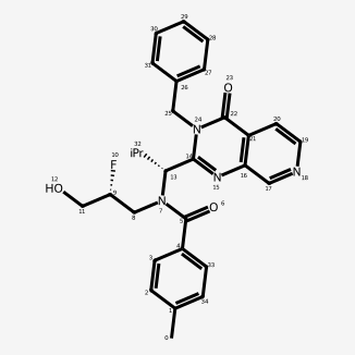 Cc1ccc(C(=O)N(C[C@@H](F)CO)[C@@H](c2nc3cnccc3c(=O)n2Cc2ccccc2)C(C)C)cc1